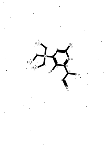 CC[Si](CC)(CC)c1cc(Br)nc(C(F)C=O)c1F